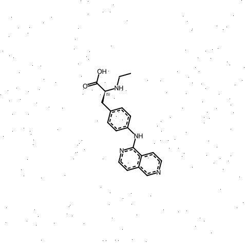 CCN[C@@H](Cc1ccc(Nc2nccc3cnccc23)cc1)C(=O)O